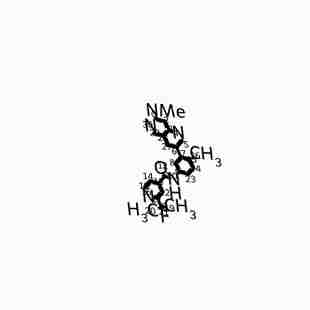 CNc1cc2ncc(-c3cc(NC(=O)c4ccnc(C(C)(C)F)c4)ccc3C)cc2cn1